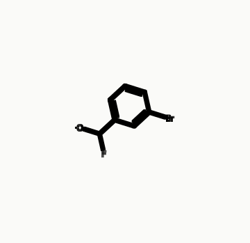 [O]C(F)c1cccc(Br)c1